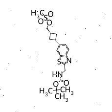 CC(C)(C)OC(=O)NCc1nc2ccc([C@H]3C[C@H](COS(C)(=O)=O)C3)cc2s1